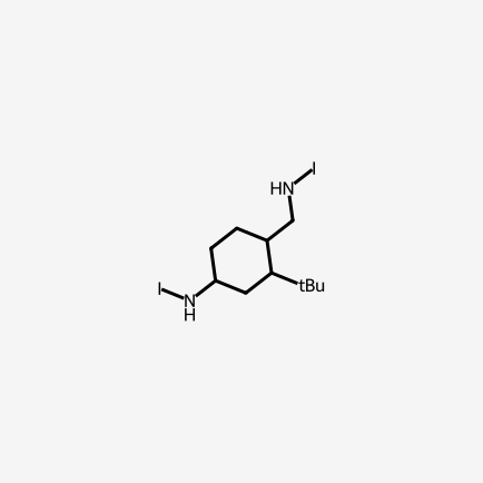 CC(C)(C)C1CC(NI)CCC1CNI